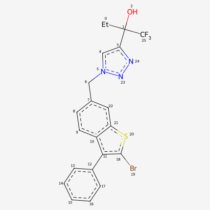 CCC(O)(c1cn(Cc2ccc3c(-c4ccccc4)c(Br)sc3c2)nn1)C(F)(F)F